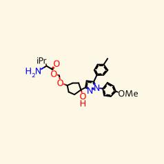 COc1ccc(-n2nc(C3(O)CCC(OCOC(=O)[C@@H](N)C(C)C)CC3)cc2-c2ccc(C)cc2)cc1